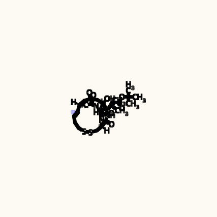 CC(C)[C@H]1NC(=O)[C@H]2CSSCC/C=C/[C@@H](CC(=O)C[C@@H]1O)CC(=O)N[C@H](CCC(=O)OC(C)(C)C)C(=O)N2